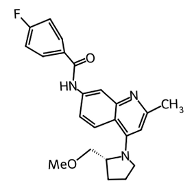 COC[C@H]1CCCN1c1cc(C)nc2cc(NC(=O)c3ccc(F)cc3)ccc12